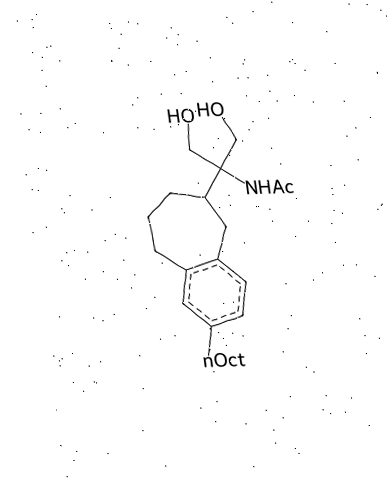 CCCCCCCCc1ccc2c(c1)CCCC(C(CO)(CO)NC(C)=O)C2